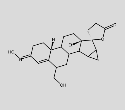 CC[C@]12CCC3C(CC(CO)C4=C/C(=N/O)CC[C@@H]43)C1C1CC1[C@@]21CCC(=O)O1